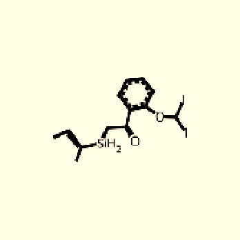 CC=C(C)[SiH2]CC(=O)c1ccccc1OC(I)I